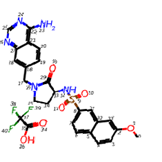 COc1ccc2ccc(S(=O)(=O)N[C@H]3CCN(Cc4ccc5c(N)ncnc5c4)C3=O)cc2c1.O=C(O)C(F)(F)F